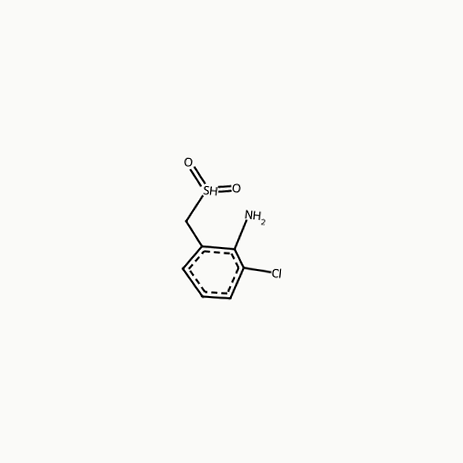 Nc1c(Cl)cccc1C[SH](=O)=O